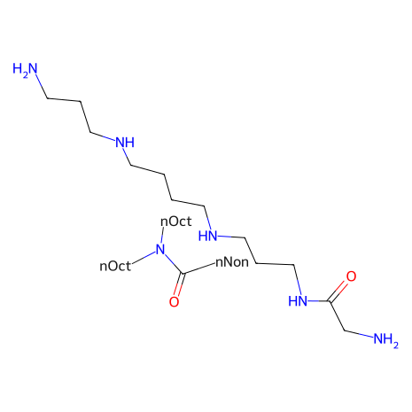 CCCCCCCCCC(=O)N(CCCCCCCC)CCCCCCCC.NCCCNCCCCNCCCNC(=O)CN